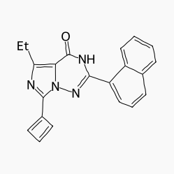 CCc1nc(C2=CC=C2)n2nc(-c3cccc4ccccc34)[nH]c(=O)c12